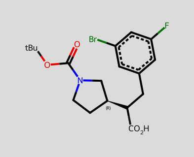 CC(C)(C)OC(=O)N1CC[C@H](C(Cc2cc(F)cc(Br)c2)C(=O)O)C1